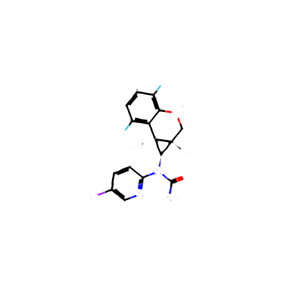 NC(=O)N(c1ccc(I)cn1)[C@@H]1[C@H]2COc3c(F)ccc(F)c3[C@@H]21